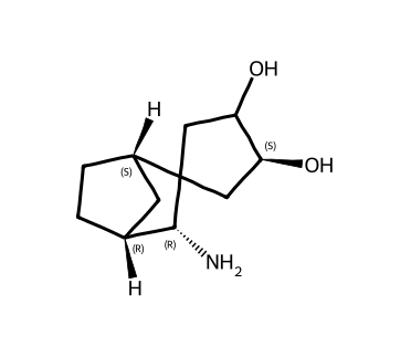 N[C@@H]1[C@@H]2CC[C@@H](C2)C12CC(O)[C@@H](O)C2